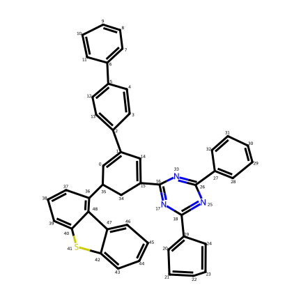 C1=C(c2ccc(-c3ccccc3)cc2)C=C(c2nc(-c3ccccc3)nc(-c3ccccc3)n2)CC1c1cccc2sc3ccccc3c12